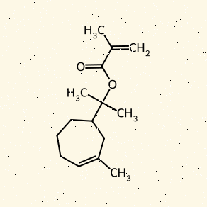 C=C(C)C(=O)OC(C)(C)C1CCCC=C(C)C1